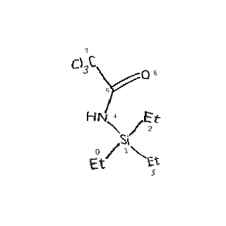 CC[Si](CC)(CC)NC(=O)C(Cl)(Cl)Cl